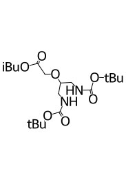 CC(C)COC(=O)COC(CNC(=O)OC(C)(C)C)CNC(=O)OC(C)(C)C